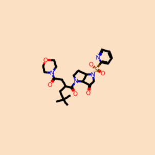 CC(C)(C)CC(CC(=O)N1CCOCC1)C(=O)N1CCC2C1C(=O)CN2S(=O)(=O)c1ccccn1